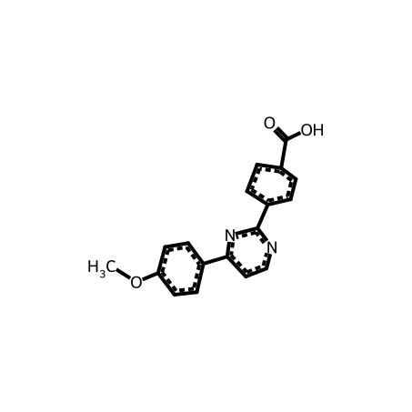 COc1ccc(-c2ccnc(-c3ccc(C(=O)O)cc3)n2)cc1